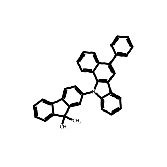 CC1(C)c2ccccc2-c2ccc(-n3c4ccccc4c4cc(-c5ccccc5)c5ccccc5c43)cc21